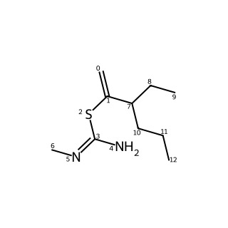 C=C(S/C(N)=N\C)C(CC)CCC